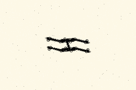 C=CC(=O)OCCCCCCCCCCOc1ccc(C(=O)Oc2ccc(OC(=O)c3ccc(OCCCCCCCCCCOC(=O)C=C)cc3)c(CCCCCCc3cc(OC(=O)c4ccc(OCCCCCCCCCCOC(=O)C=C)cc4)ccc3OC(=O)c3ccc(OCCCCCCCCCCOC(=O)C=C)cc3)c2)cc1